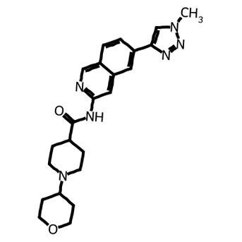 Cn1cc(-c2ccc3cnc(NC(=O)C4CCN(C5CCOCC5)CC4)cc3c2)nn1